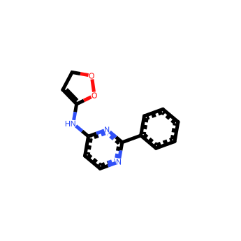 C1=C(Nc2ccnc(-c3ccccc3)n2)OOC1